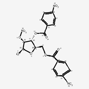 O=C(OC[C@H]1O[C@@H](Cl)[C@@H](O[N+](=O)[O-])[C@@H]1OC(=O)c1ccc([N+](=O)[O-])cc1)c1ccc([N+](=O)[O-])cc1